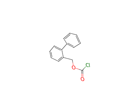 O=C(Cl)OCc1ccccc1-c1ccccc1